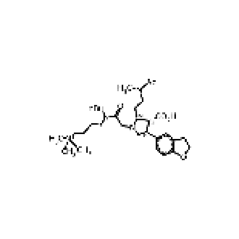 CCCCN(CCCC[N+](C)(C)C)C(=O)CN1C[C@H](c2ccc3c(c2)CCO3)[C@@H](C(=O)O)[C@@H]1CCN(C)C(C)=O